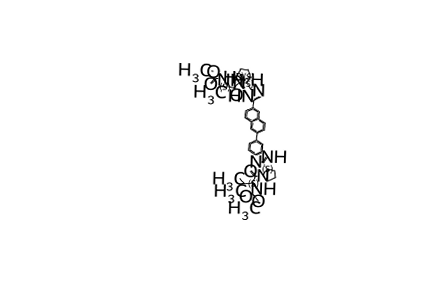 COC(=O)N[C@@H](C)C(=O)N1[C@@H]2CC[C@@H](C2)[C@H]1c1ncc(-c2ccc3cc(-c4ccc5nc([C@@H]6CCCN6C(=O)[C@@H](NC(=O)OC)C(C)C)[nH]c5c4)ccc3c2)[nH]1